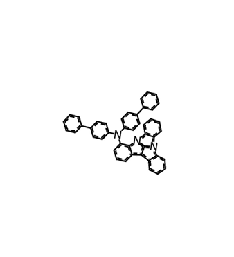 c1ccc(-c2ccc(N(c3ccc(-c4ccccc4)cc3)c3cccc4c5c6ccccc6n6c7ccccc7n(c34)c56)cc2)cc1